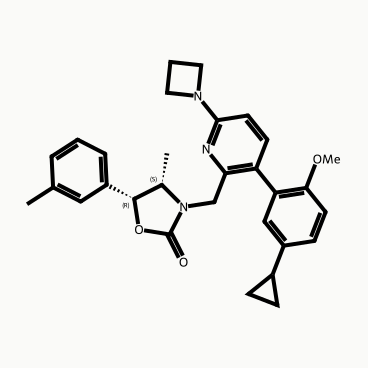 COc1ccc(C2CC2)cc1-c1ccc(N2CCC2)nc1CN1C(=O)O[C@H](c2cccc(C)c2)[C@@H]1C